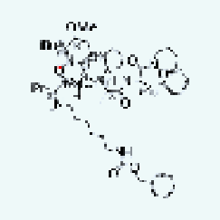 CC[C@H](C)[C@@H]([C@@H](CC(=O)N1CCC[C@H]1[C@H](OC)[C@@H](C)C(=O)NC1(C(=O)N2CCCCO2)C[C@@H]1c1ccccc1)OC)N(C)C(=O)[C@@H](NC(=O)[C@H](C(C)C)N(C)CCCCCCNC(=O)OCc1ccccc1)C(C)C